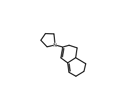 C1=C2C=C(N3CCCC3)CCC2CCC1